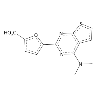 CN(C)c1nc(-c2ccc(C(=O)O)o2)nc2sccc12